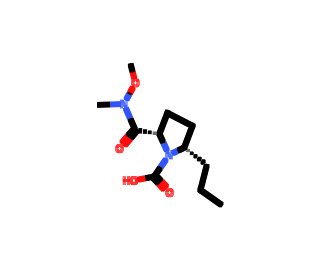 CCC[C@H]1CC[C@@H](C(=O)N(C)OC)N1C(=O)O